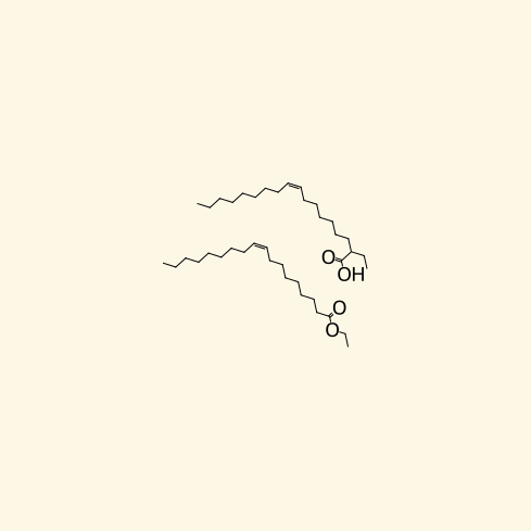 CCCCCCCC/C=C\CCCCCCC(CC)C(=O)O.CCCCCCCC/C=C\CCCCCCCC(=O)OCC